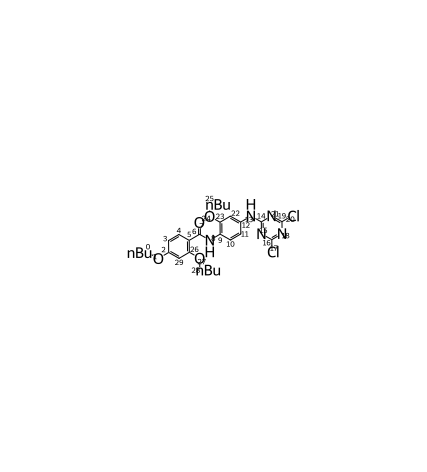 CCCCOc1ccc(C(=O)Nc2ccc(Nc3nc(Cl)nc(Cl)n3)cc2OCCCC)c(OCCCC)c1